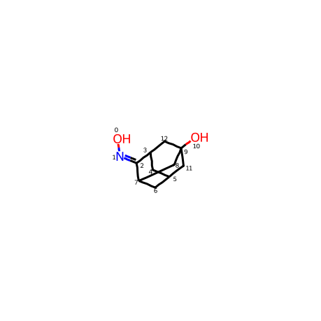 ON=C1C2CC3CC1CC(O)(C3)C2